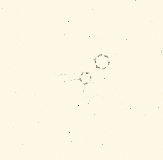 CCCCc1c(CC(C)C)nn(-c2ccccc2C)c1O